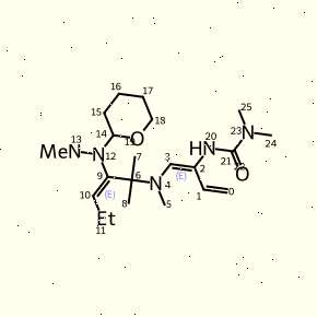 C=C/C(=C\N(C)C(C)(C)/C(=C\CC)N(NC)C1CCCCO1)NC(=O)N(C)C